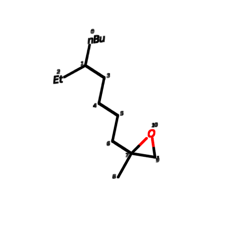 CCCCC(CC)CCCCC1(C)[CH]O1